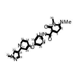 CNc1ccc(C(=O)Nc2ccc(Oc3ccnc(-c4cnn(C)c4)c3)cn2)c(=O)n1C